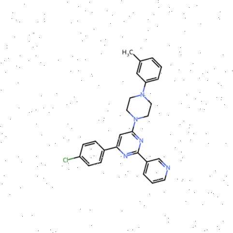 Cc1cccc(N2CCN(c3cc(-c4ccc(Cl)cc4)nc(-c4cccnc4)n3)CC2)c1